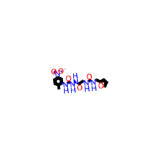 Cc1ccc([N+](=O)[O-])cc1NC(=O)NNC(=O)CNC(=O)NCc1ccco1